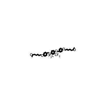 FC(F)(F)c1c(OCc2ccc(OCCCCCC3CO3)cc2)ccc(OCc2ccc(OCCCCCC3CO3)cc2)c1C(F)(F)F